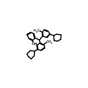 Cc1ccc(C2CCCCC2)cc1C(c1cc(C2CCCCC2)ccc1C)c1ccccc1O